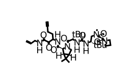 C#CCCC(NC(=O)[C@@H]1[C@@H]2[C@H](CN1C(=O)[C@@H](NC(=O)N[C@H](CN(C)S(=O)(=O)N1CCC1)C(C)(C)C)C(C)(C)C)C2(C)C)C(=O)C(=O)NCC=C